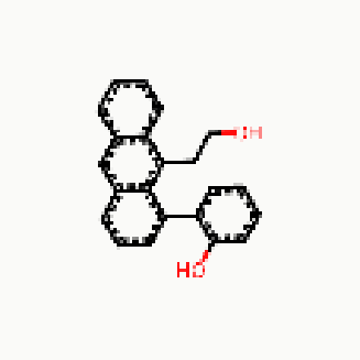 OCCc1c2ccccc2cc2cccc(-c3ccccc3O)c12